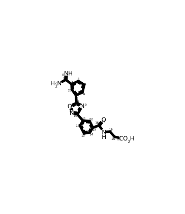 N=C(N)c1cccc(-c2nc(-c3cccc(C(=O)NCCC(=O)O)c3)no2)c1